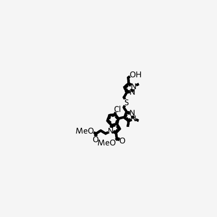 COC(=O)CCn1c(C(=O)OC)cc2c(-c3c(CSCc4cc(CO)n(C)n4)nn(C)c3C)c(Cl)ccc21